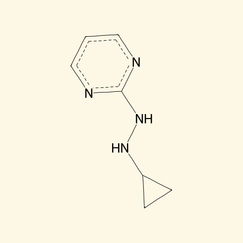 c1cnc(NNC2CC2)nc1